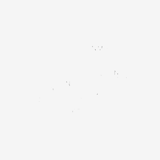 CNc1c([N+](=O)[O-])cc(C(F)(F)F)n(C2CC2)c1=O